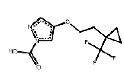 O=C(O)n1cc(OCCC2(C(F)(F)F)CC2)cn1